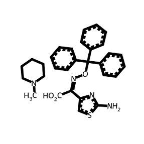 CN1CCCCC1.Nc1nc(C(=NOC(c2ccccc2)(c2ccccc2)c2ccccc2)C(=O)O)cs1